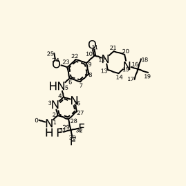 CNc1nc(Nc2ccc(C(=O)N3CCN(C(C)(C)C)CC3)cc2OC)ncc1C(F)(F)F